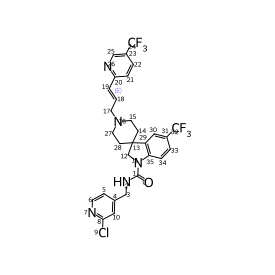 O=C(NCc1ccnc(Cl)c1)N1CC2(CCN(C/C=C/c3ccc(C(F)(F)F)cn3)CC2)c2cc(C(F)(F)F)ccc21